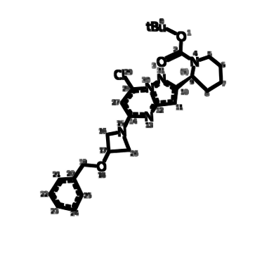 CC(C)(C)OC(=O)N1CCCC[C@H]1c1cc2nc(N3CC(OCc4ccccc4)C3)cc(Cl)n2n1